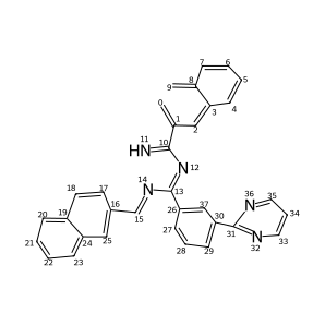 C=C(/C=c1/ccccc1=C)C(=N)/N=C(\N=C\c1ccc2ccccc2c1)c1cccc(-c2ncccn2)c1